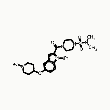 CC(C)N1CCC(Oc2ccc3c(c2)cc(C(=O)N2CCN(S(=O)(=O)N(C)C)CC2)n3C(C)C)CC1